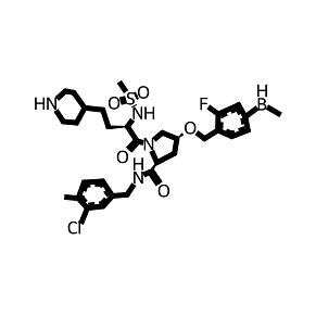 CBc1ccc(CO[C@@H]2C[C@@H](C(=O)NCc3ccc(C)c(Cl)c3)N(C(=O)[C@@H](CCC3CCNCC3)NS(C)(=O)=O)C2)c(F)c1